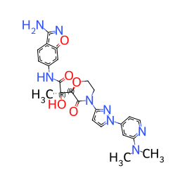 CN(C)c1cc(-n2ccc(N3CCO[C@H]([C@@](C)(O)C(=O)Nc4ccc5c(N)noc5c4)C3=O)n2)ccn1